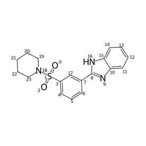 O=S(=O)(c1cccc(-c2nc3ccccc3[nH]2)c1)N1CCCCC1